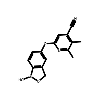 Cc1nc(Oc2ccc3c(c2)COB3O)cc(C#N)c1C